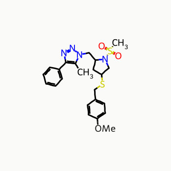 COc1ccc(CSC2CC(Cn3nnc(-c4ccccc4)c3C)N(S(C)(=O)=O)C2)cc1